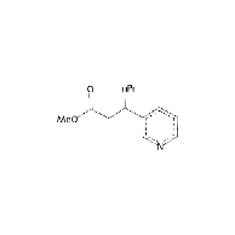 CCCC(CC(=O)OC)c1cccnc1